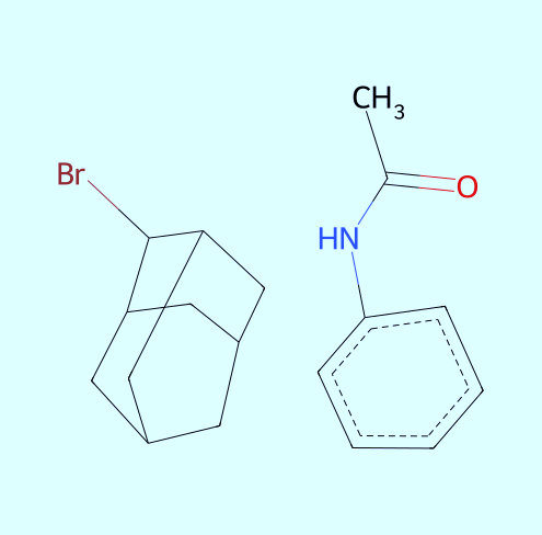 BrC1C2CC3CC(C2)CC1C3.CC(=O)Nc1ccccc1